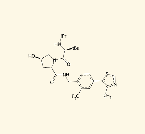 Cc1ncsc1-c1ccc(CNC(=O)C2C[C@@H](O)CN2C(=O)[C@@H](NC(C)C)C(C)(C)C)c(C(F)(F)F)c1